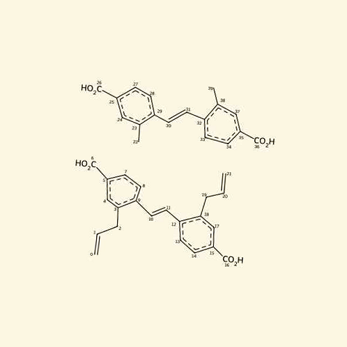 C=CCc1cc(C(=O)O)ccc1/C=C/c1ccc(C(=O)O)cc1CC=C.Cc1cc(C(=O)O)ccc1/C=C/c1ccc(C(=O)O)cc1C